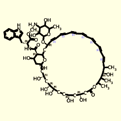 COC(=O)[C@@H](Cc1c[nH]c2ccccc12)NC(=O)[C@@H]1C(O)C[C@@]2(O)C[C@@H](O)C[C@@H](O)[C@H](O)CC[C@@H](O)C[C@@H](O)CC(=O)OC(C)C(C)[C@H](O)C(C)/C=C/C=C/C=C/C=C/C=C/C=C/C=C/[C@H](OC3OC(C)C(O)C(N)C3O)CC1O2